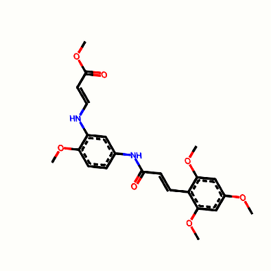 COC(=O)/C=C/Nc1cc(NC(=O)/C=C/c2c(OC)cc(OC)cc2OC)ccc1OC